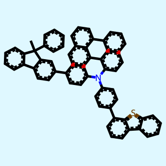 CC1(c2ccccc2)c2ccccc2-c2ccc(-c3ccc(N(c4ccc(-c5cccc6c5sc5ccccc56)cc4)c4ccccc4-c4cccc5cccc(-c6ccccc6)c45)cc3)cc21